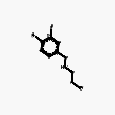 CC(C)CCNCc1ccc(Br)c(F)c1